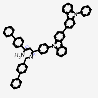 N/C(=C\C(=N/Cc1ccc(-c2ccccc2)cc1)c1ccc(-n2c3ccccc3c3cc(-c4ccc5c(c4)c4ccccc4n5-c4ccccc4)ccc32)cc1)c1ccc(-c2ccccc2)cc1